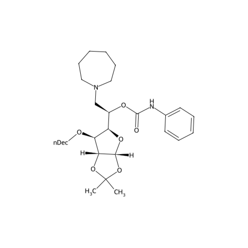 CCCCCCCCCCO[C@@H]1[C@H]2OC(C)(C)O[C@H]2O[C@@H]1[C@@H](CN1CCCCCC1)OC(=O)Nc1ccccc1